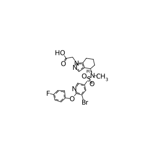 CN([C@@H]1CCCc2c1cnn2CC(=O)O)S(=O)(=O)c1cnc(Oc2ccc(F)cc2)c(Br)c1